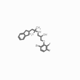 CC(C)(CC1Cc2ccccc2C1)NCC(O)COc1c(Br)ccc(F)c1F